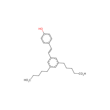 O=C(O)CCCCc1cc(C=Cc2ccc(O)cc2)cc(CCCCC(=O)O)c1